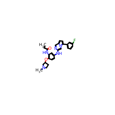 C=CC(=O)Nc1cc(Nc2cn3c(-c4cccc(F)c4)ccc3cn2)ccc1OC1CCN(C)C1